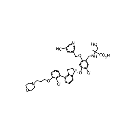 CC(CO)(NCc1cc(Cl)c(O[C@H]2CCc3c(-c4cccc(OCCCN5CCOCC5)c4Cl)cccc32)cc1OCc1cncc(C#N)c1)C(=O)O